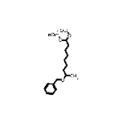 CCCCCCCCOC(CCCCCCC(C)OCc1ccccc1)OCCCCCCCC